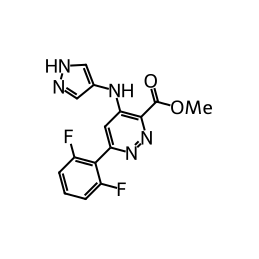 COC(=O)c1nnc(-c2c(F)cccc2F)cc1Nc1cn[nH]c1